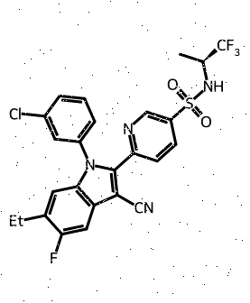 CCc1cc2c(cc1F)c(C#N)c(-c1ccc(S(=O)(=O)N[C@@H](C)C(F)(F)F)cn1)n2-c1cccc(Cl)c1